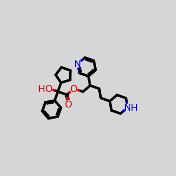 O=C(OCC(CCC1CCNCC1)c1cccnc1)C(O)(c1ccccc1)C1CCCC1